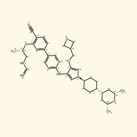 C[C@@H]1CN([C@H]2CC[C@H](n3cc(Nc4ncc(-c5ccc(C#N)c(O[C@@H](C)CNC=N)c5)cn4)c(OCC4COC4)n3)CC2)C[C@H](C)O1